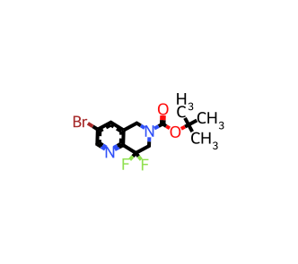 CC(C)(C)OC(=O)N1Cc2cc(Br)cnc2C(F)(F)C1